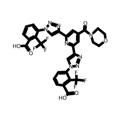 O=C(O)c1cccc(-n2cc(-c3cc(C(=O)N4CCOCC4)cc(-c4cn(-c5cccc(C(=O)O)c5C(F)(F)F)nn4)n3)nn2)c1C(F)(F)F